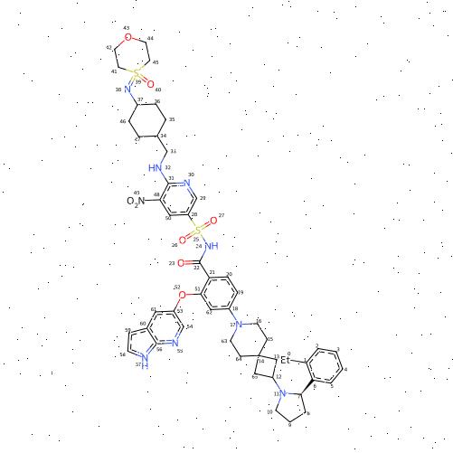 CCc1ccccc1[C@H]1CCCN1C1CC2(CCN(c3ccc(C(=O)NS(=O)(=O)c4cnc(NCC5CCC(N=S6(=O)CCOCC6)CC5)c([N+](=O)[O-])c4)c(Oc4cnc5[nH]ccc5c4)c3)CC2)C1